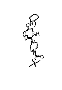 CC(C)(C)OC(=O)N1CCN(C(=O)N[C@@H](CC2CCCCC2)C(=O)O)CC1